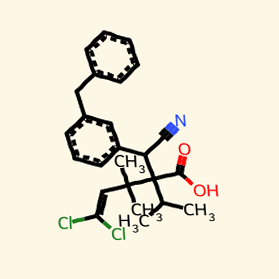 CC(C)C(C(=O)O)(C(C#N)c1cccc(Cc2ccccc2)c1)C(C)(C)C=C(Cl)Cl